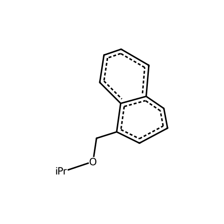 [CH2]C(C)OCc1cccc2ccccc12